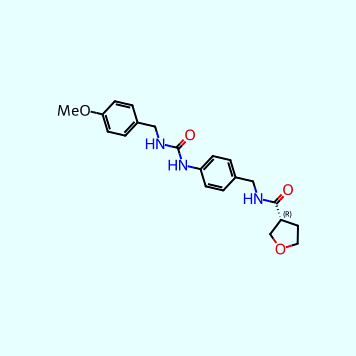 COc1ccc(CNC(=O)Nc2ccc(CNC(=O)[C@@H]3CCOC3)cc2)cc1